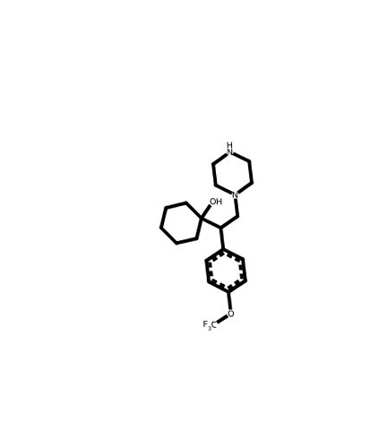 OC1(C(CN2CCNCC2)c2ccc(OC(F)(F)F)cc2)CCCCC1